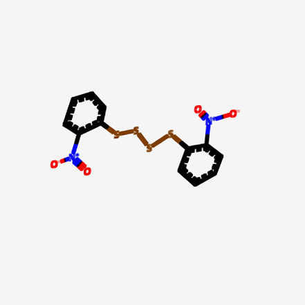 O=[N+]([O-])c1ccccc1SSSSc1ccccc1[N+](=O)[O-]